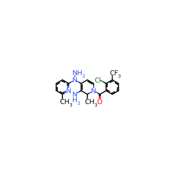 Cc1cccc(N(N)C2=C(N)C(C)N(C(=O)c3cccc(C(F)(F)F)c3Cl)C=C2)n1